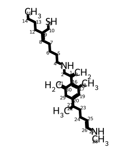 C=C(CNCCCC/C=C(\CS)CCCC)C1=C(C)C=C(C(C)CC/C=C/NC)CC1=C